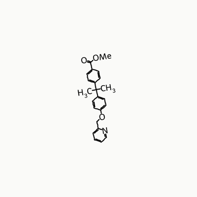 COC(=O)c1ccc(C(C)(C)c2ccc(OCc3ccccn3)cc2)cc1